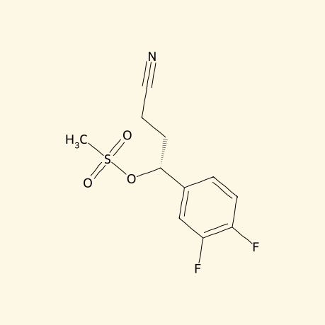 CS(=O)(=O)O[C@H](CCC#N)c1ccc(F)c(F)c1